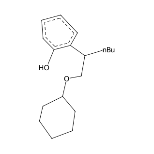 CCCCC(COC1CCCCC1)c1ccccc1O